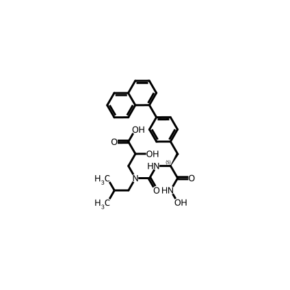 CC(C)CN(CC(O)C(=O)O)C(=O)N[C@@H](Cc1ccc(-c2cccc3ccccc23)cc1)C(=O)NO